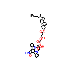 CC(C)CCCC(C)C1CCC2C3CC=C4C[C@@H](OC(=O)CCC(=O)OCC(=O)OC[C@@]5(O)CC6O[C@]5(C)n5c7ccccc7c7c8c(c9c%10ccccc%10n6c9c75)C(=O)NC8)CC[C@]4(C)C3CC[C@]12C